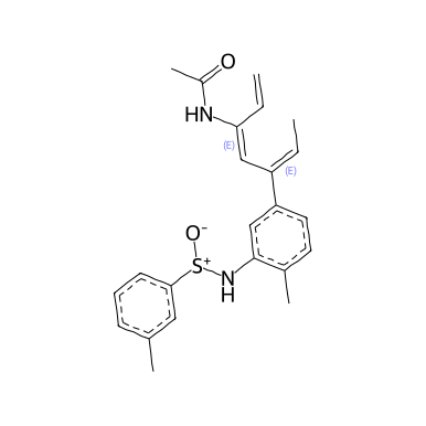 C=C/C(=C\C(=C/C)c1ccc(C)c(N[S+]([O-])c2cccc(C)c2)c1)NC(C)=O